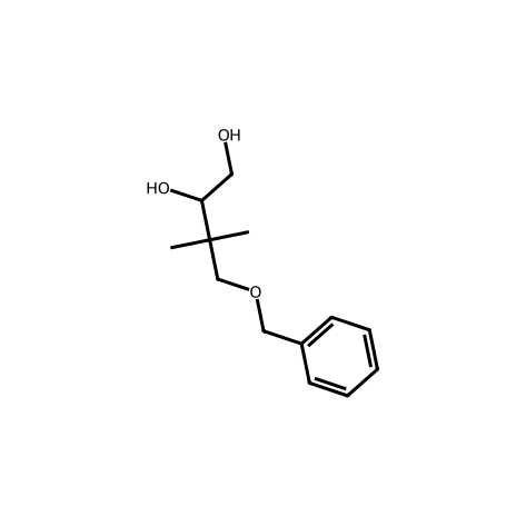 CC(C)(COCc1ccccc1)C(O)CO